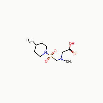 CC1CCN(S(=O)(=O)CN(C)CC(=O)O)CC1